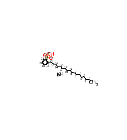 CCCCCCCCCCCCCCCCCCc1ccccc1S(=O)(=O)O.[KH]